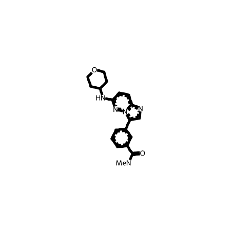 CNC(=O)c1cccc(-c2cnc3ccc(NC4CCOCC4)nn23)c1